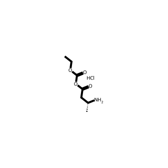 CCOC(=O)OC(=O)C[C@@H](C)N.Cl